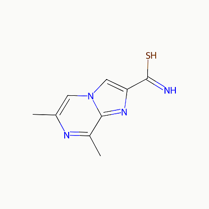 Cc1cn2cc(C(=N)S)nc2c(C)n1